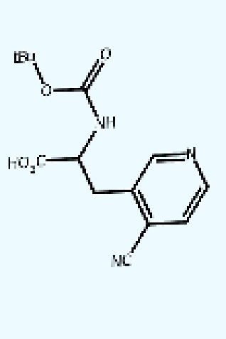 CC(C)(C)OC(=O)NC(Cc1cnccc1C#N)C(=O)O